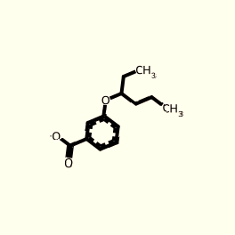 CCCC(CC)Oc1cccc(C([O])=O)c1